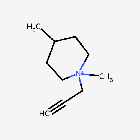 C#CC[N+]1(C)CCC(C)CC1